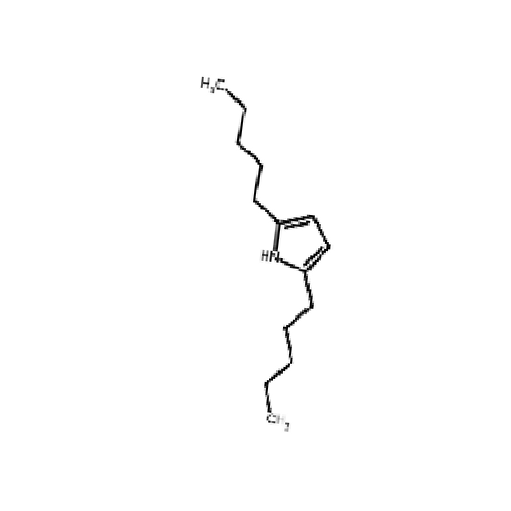 CCCCCc1ccc(CCCCC)[nH]1